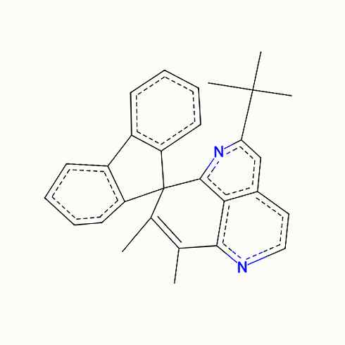 CC1=C(C)C2(c3ccccc3-c3ccccc32)c2nc(C(C)(C)C)cc3ccnc1c23